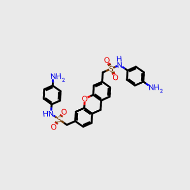 Nc1ccc(NS(=O)(=O)Cc2ccc3c(c2)Oc2cc(CS(=O)(=O)Nc4ccc(N)cc4)ccc2C3)cc1